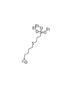 CCO[Si](CCCSCCCCC1CO1)(OCC)OCC